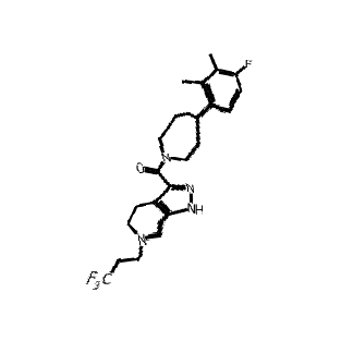 Cc1c(F)ccc(C2CCN(C(=O)c3n[nH]c4c3CCN(CCC(F)(F)F)C4)CC2)c1C